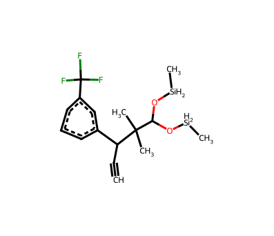 C#CC(c1cccc(C(F)(F)F)c1)C(C)(C)C(O[SiH2]C)O[SiH2]C